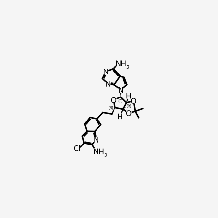 CC1(C)O[C@@H]2[C@H](O1)[C@@H](CCc1ccc3cc(Cl)c(N)nc3c1)O[C@H]2n1ccc2c(N)ncnc21